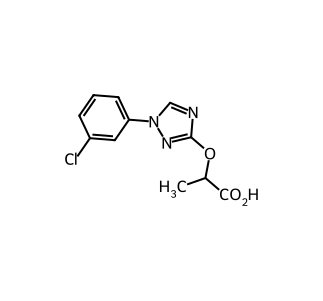 CC(Oc1ncn(-c2cccc(Cl)c2)n1)C(=O)O